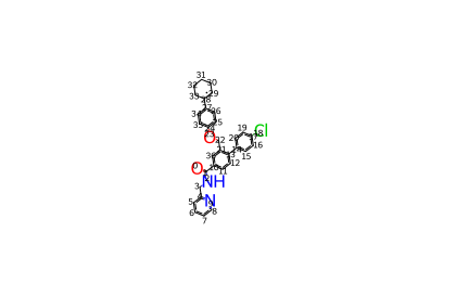 O=C(NCc1ccccn1)c1ccc(-c2ccc(Cl)cc2)c(COc2ccc(C3[CH]CCCC3)cc2)c1